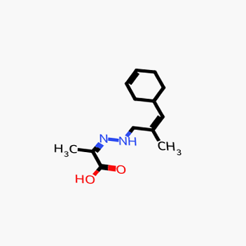 CC(=CC1CC=CCC1)CNN=C(C)C(=O)O